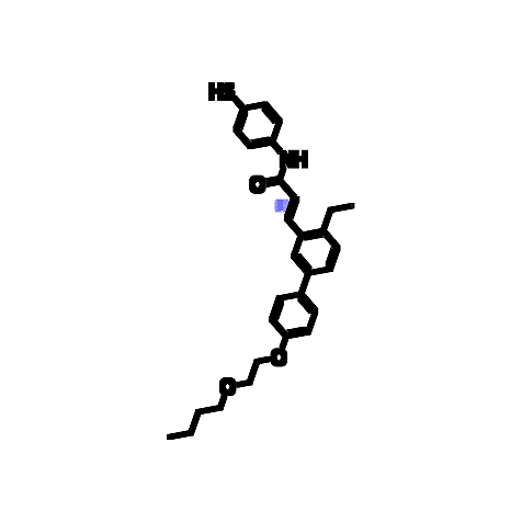 CCCCOCCOc1ccc(-c2ccc(CC)c(/C=C/C(=O)Nc3ccc(S)cc3)c2)cc1